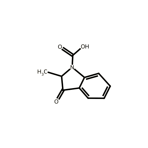 CC1C(=O)c2ccccc2N1C(=O)O